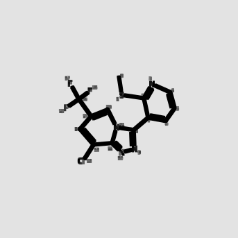 CSc1ncccc1-c1nnc2c(Cl)cc(C(F)(F)F)cn12